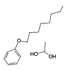 CC(O)O.CCCCCCCCOc1ccccc1